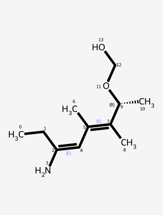 CC/C(N)=C\C(C)=C(/C)[C@@H](C)OCO